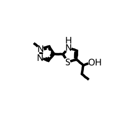 CCC(O)C1=CNC(c2cnn(C)c2)S1